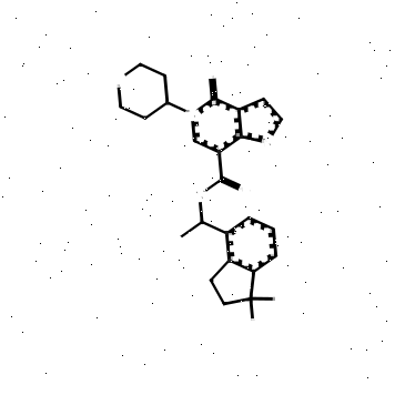 CC(NC(=O)c1cn(C2CCOCC2)c(=O)c2cc[nH]c12)c1cccc2c1CCC2(F)F